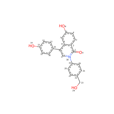 O=c1c2ccc(O)cc2c(-c2ccc(O)cc2)cn1-c1ccc(CO)cc1